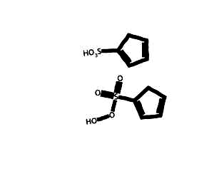 O=S(=O)(O)C1=CC=CC1.O=S(=O)(OO)C1=CC=CC1